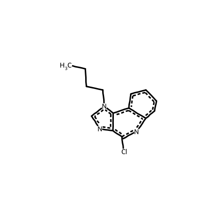 CCCCn1cnc2c(Cl)nc3ccccc3c21